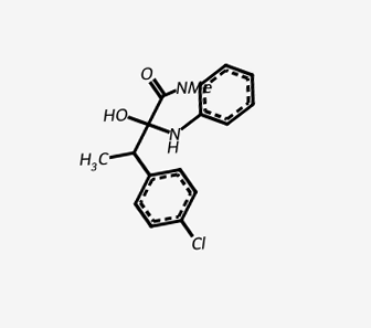 CNC(=O)C(O)(Nc1ccccc1)C(C)c1ccc(Cl)cc1